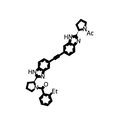 CCc1ccccc1C(=O)N1CCC[C@H]1c1nc2cc(C#Cc3ccc4nc([C@@H]5CCCN5C(C)=O)[nH]c4c3)ccc2[nH]1